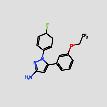 Nc1cc(-c2cccc(OCC(F)(F)F)c2)n(C2=CCC(F)C=C2)n1